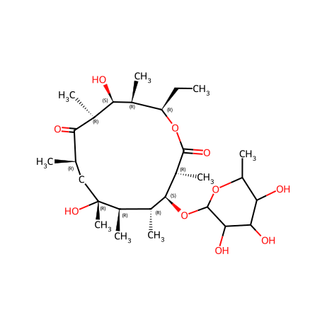 CC[C@H]1OC(=O)[C@H](C)[C@@H](OC2OC(C)C(O)C(O)C2O)[C@H](C)[C@@H](C)[C@](C)(O)C[C@@H](C)C(=O)[C@H](C)[C@@H](O)[C@H]1C